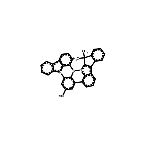 CC(C)(C)c1cc2c3c(c1)-n1c4ccccc4c4cccc(c41)B3n1c3c(c4cccc-2c41)-c1ccccc1C3(C)C